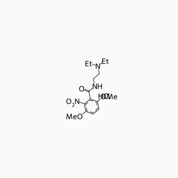 CCN(CC)CCNC(=O)c1c(OC)ccc(OC)c1[N+](=O)[O-].Cl